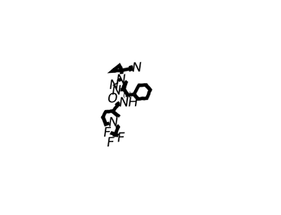 N#CC1(n2cc([C@@H](NC(=O)C3CCCN(CC(F)(F)F)C3)C3CCCCC3)nn2)CC1